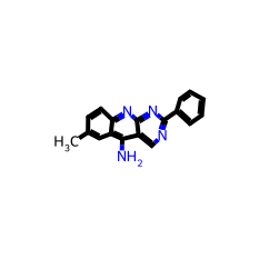 Cc1ccc2nc3nc(-c4ccccc4)ncc3c(N)c2c1